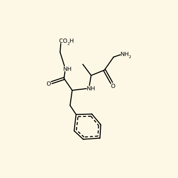 CC(NC(Cc1ccccc1)C(=O)NCC(=O)O)C(=O)CN